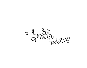 COCCNCCN(Cc1ccccn1)C[C@H](O)[C@@]12CC[C@]3(C)[C@H](CCC4[C@@]5(C)CC[C@H](OC(=O)CC(C)(C)C(=O)O)C(C)(C)[C@@H]5CC[C@]43C)C1=C(C(C)C)C(=O)C2